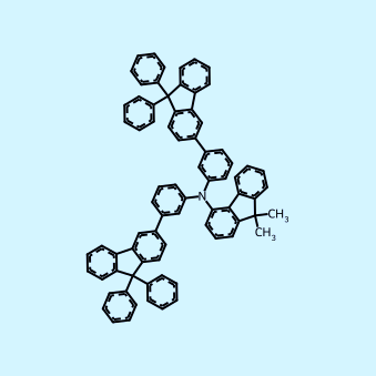 CC1(C)c2ccccc2-c2c(N(c3cccc(-c4ccc5c(c4)-c4ccccc4C5(c4ccccc4)c4ccccc4)c3)c3cccc(-c4ccc5c(c4)-c4ccccc4C5(c4ccccc4)c4ccccc4)c3)cccc21